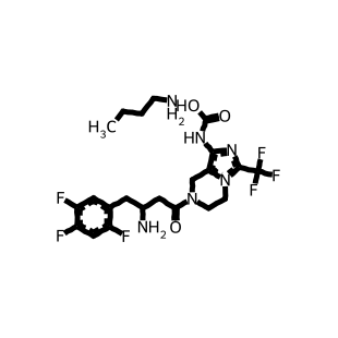 CCCCN.NC(CC(=O)N1CCn2c(C(F)(F)F)nc(NC(=O)O)c2C1)Cc1cc(F)c(F)cc1F